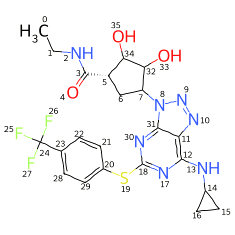 CCNC(=O)[C@H]1CC(n2nnc3c(NC4CC4)nc(Sc4ccc(C(F)(F)F)cc4)nc32)C(O)C1O